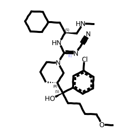 CNC[C@H](CC1CCCCC1)N/C(=N\C#N)N1CCC[C@@H]([C@@](O)(CCCCOC)c2cccc(Cl)c2)C1